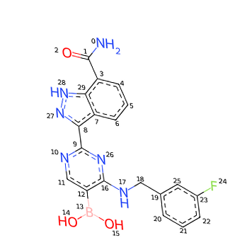 NC(=O)c1cccc2c(-c3ncc(B(O)O)c(NCc4cccc(F)c4)n3)n[nH]c12